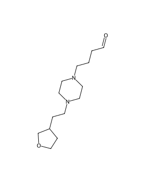 O=CCCCN1CCN(CCC2CCOC2)CC1